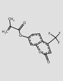 C=C(C)C(=O)Oc1ccc2c(C(F)(F)F)cc(=O)oc2c1